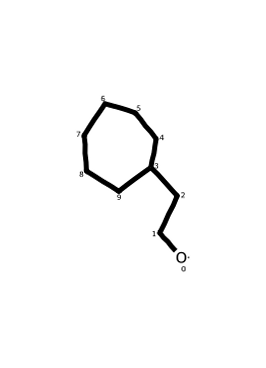 [O]CCC1CCCCCC1